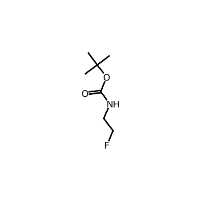 CC(C)(C)OC(=O)NCCF